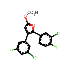 O=C(O)Oc1cc(-c2cc(F)cc(Cl)c2)c(-c2ccc(F)c(Cl)c2)o1